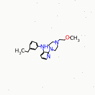 CCc1cccc(Nc2cccnc2N2CCN(CCOC)CC2)c1